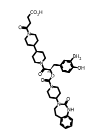 Bc1cc(C[C@@H](OC(=O)N2CCC(N3CCc4ccccc4NC3=O)CC2)C(=O)N2CCC(C3CCN(C(=O)CCC(=O)O)CC3)CC2)ccc1O